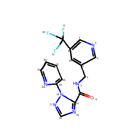 O=C(NCc1cncc(C(F)(F)F)c1)c1ncnn1-c1ccccn1